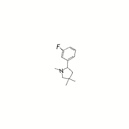 CN1CC(C)(C)CC1c1cccc(F)c1